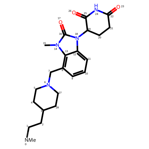 CNCCC1CCN(Cc2cccc3c2n(C)c(=O)n3C2CCC(=O)NC2=O)CC1